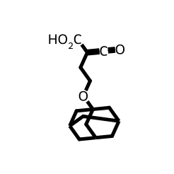 O=C=C(CCOC12CC3CC(CC(C3)C1)C2)C(=O)O